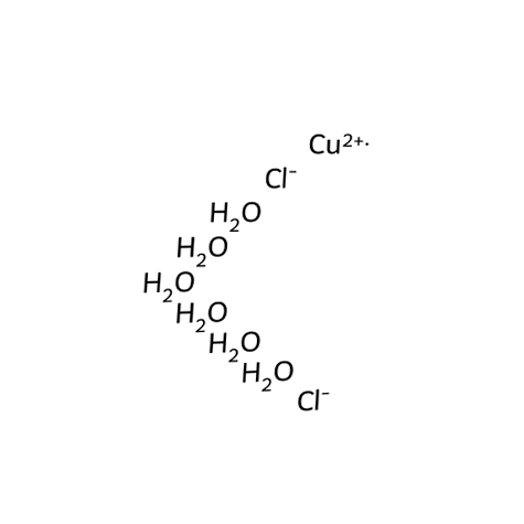 O.O.O.O.O.O.[Cl-].[Cl-].[Cu+2]